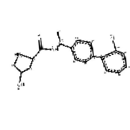 C[C@H](NC(=O)C1CC(O)CN1)c1ccc(-c2ccccc2Cl)cc1